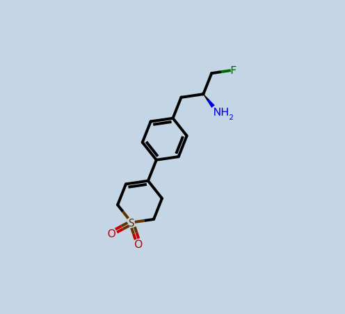 N[C@H](CF)Cc1ccc(C2=CCS(=O)(=O)CC2)cc1